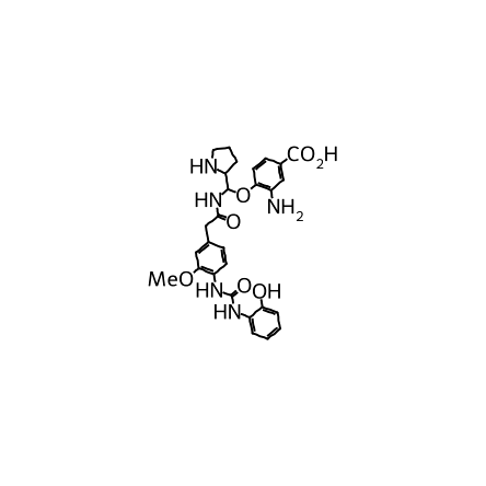 COc1cc(CC(=O)NC(Oc2ccc(C(=O)O)cc2N)C2CCCN2)ccc1NC(=O)Nc1ccccc1O